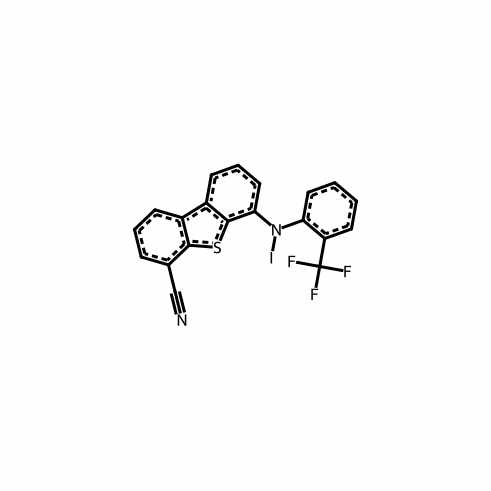 N#Cc1cccc2c1sc1c(N(I)c3ccccc3C(F)(F)F)cccc12